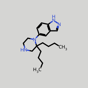 CCCCC1(CCCC)CNCCN1c1ccc2[nH]ncc2c1